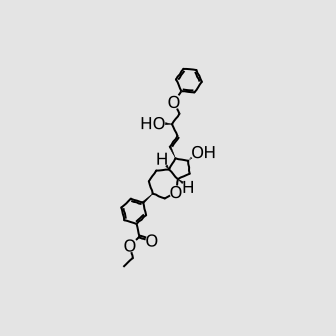 CCOC(=O)c1cccc([C@H]2CC[C@@H]3[C@@H](/C=C/[C@@H](O)COc4ccccc4)[C@H](O)C[C@@H]3OC2)c1